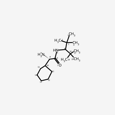 CC(C)(C)C(NC(=O)[C@@H](N)C1CCCCC1)C(C)(C)C